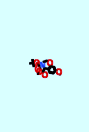 COC(=O)C1c2ccc(OC)cc2OCCN1C(=O)OC(C)(C)C